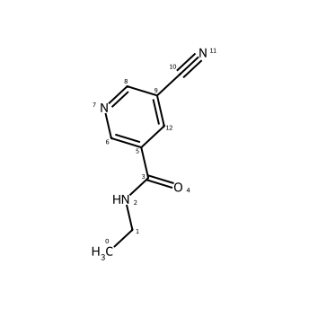 CCNC(=O)c1cncc(C#N)c1